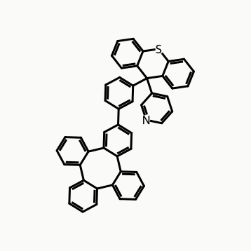 c1cncc(C2(c3cccc(-c4ccc5c(c4)-c4ccccc4-c4ccccc4-c4ccccc4-5)c3)c3ccccc3Sc3ccccc32)c1